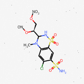 CN1c2cc(Cl)c(S(N)(=O)=O)cc2S(=O)(=O)NC1[C@H](CO[N+](=O)[O-])ON=O